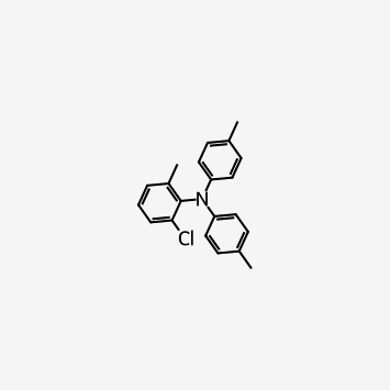 Cc1ccc(N(c2ccc(C)cc2)c2c(C)cccc2Cl)cc1